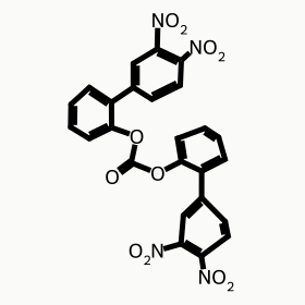 O=C(Oc1ccccc1-c1ccc([N+](=O)[O-])c([N+](=O)[O-])c1)Oc1ccccc1-c1ccc([N+](=O)[O-])c([N+](=O)[O-])c1